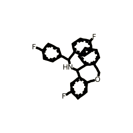 Fc1ccc(C(NC2c3ccccc3COc3ccc(F)cc32)c2ccc(F)cc2)cc1